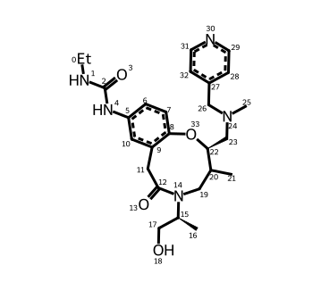 CCNC(=O)Nc1ccc2c(c1)CC(=O)N([C@@H](C)CO)CC(C)[C@H](CN(C)Cc1ccncc1)O2